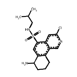 CC(C)CNS(=O)(=O)c1cc2c(c3cnc(Cl)cc13)CCCC2N